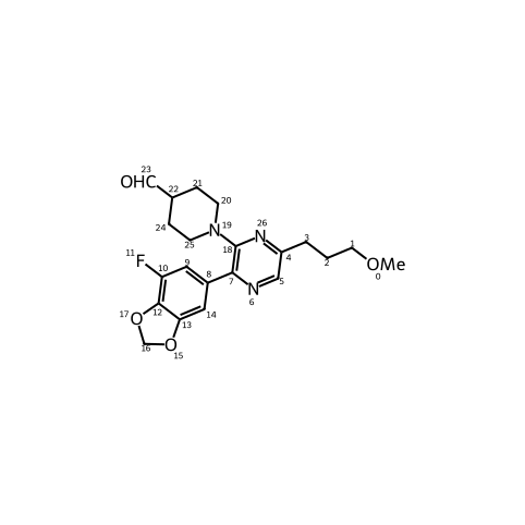 COCCCc1cnc(-c2cc(F)c3c(c2)OCO3)c(N2CCC(C=O)CC2)n1